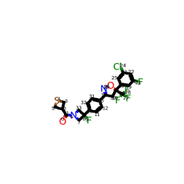 O=C(C1CSC1)N1CC(F)(c2ccc(C3=NOC(c4cc(F)cc(Cl)c4)(C(F)(F)F)C3)cc2)C1